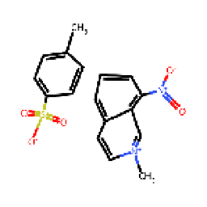 C[n+]1ccc2cccc([N+](=O)[O-])c2c1.Cc1ccc(S(=O)(=O)[O-])cc1